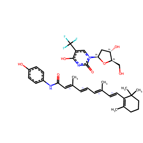 CC1=C(/C=C/C(C)=C/C=C/C(C)=C/C(=O)Nc2ccc(O)cc2)C(C)(C)CCC1.O=c1nc(O)c(C(F)(F)F)cn1[C@H]1C[C@H](O)[C@@H](CO)O1